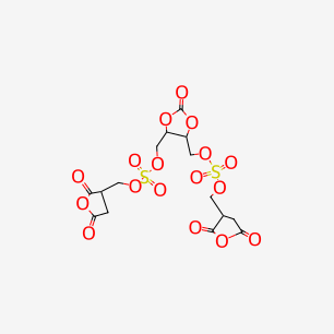 O=C1CC(COS(=O)(=O)OCC2OC(=O)OC2COS(=O)(=O)OCC2CC(=O)OC2=O)C(=O)O1